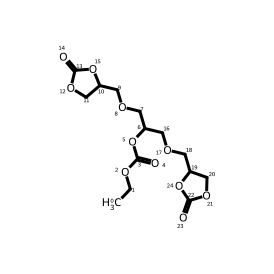 CCOC(=O)OC(COCC1COC(=O)O1)COCC1COC(=O)O1